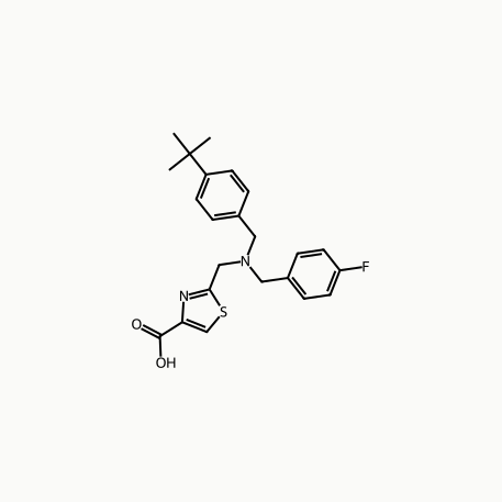 CC(C)(C)c1ccc(CN(Cc2ccc(F)cc2)Cc2nc(C(=O)O)cs2)cc1